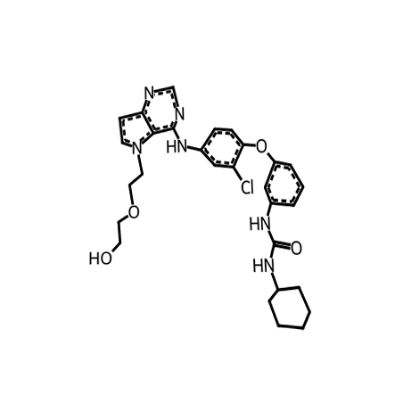 O=C(Nc1cccc(Oc2ccc(Nc3ncnc4ccn(CCOCCO)c34)cc2Cl)c1)NC1CCCCC1